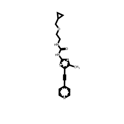 Cc1nc(NC(=O)NCCOCC2CC2)sc1C#Cc1ccncc1